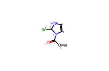 COC(=O)N1C=CNC1Br